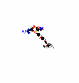 CC(C)(C)[Si](C)(C)OCCCCOc1ccc(C(=O)Oc2ccc(CSP3(=O)OC[C@H]4O[C@@H](n5cnc6c(N)ncnc65)[C@H](F)[C@@H]4OP(=O)(O)OC[C@H]4O[C@@H](n5ccc(=O)[nH]c5=O)[C@H](F)[C@@H]4O3)cc2)cc1